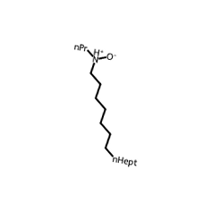 CCCCCCCCCCCCCC[NH+]([O-])CCC